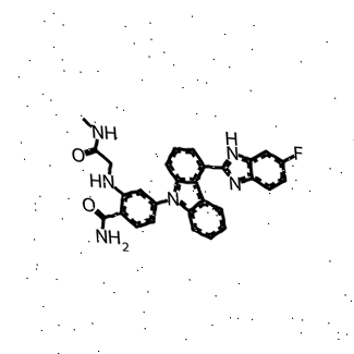 CNC(=O)CNc1cc(-n2c3ccccc3c3c(-c4nc5ccc(F)cc5[nH]4)cccc32)ccc1C(N)=O